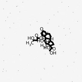 CC(O)CC(=O)OC1=CC(=O)C=C2CC[C@@H]3[C@H]([C@@H](O)C[C@@]4(C)[C@H]3CC[C@]4(O)C(=O)CO)[C@]21C